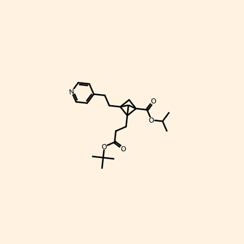 CC(C)OC(=O)C12CC(CCc3ccncc3)(C1)C2CCC(=O)OC(C)(C)C